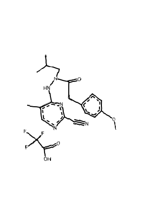 COc1ccc(CC(=O)N(CC(C)C)Nc2nc(C#N)ncc2C)cc1.O=C(O)C(F)(F)F